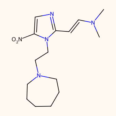 CN(C)C=Cc1ncc([N+](=O)[O-])n1CCN1CCCCCC1